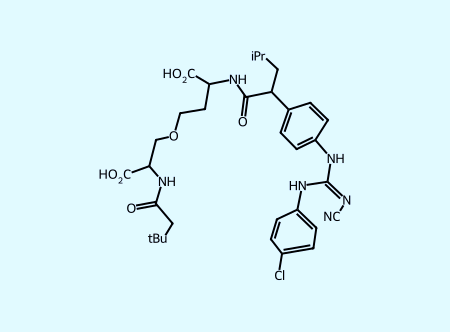 CC(C)CC(C(=O)NC(CCOCC(NC(=O)CC(C)(C)C)C(=O)O)C(=O)O)c1ccc(NC(=NC#N)Nc2ccc(Cl)cc2)cc1